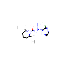 CC1CCC[C@@H](C)N1C(=O)NNc1nccnc1Cl